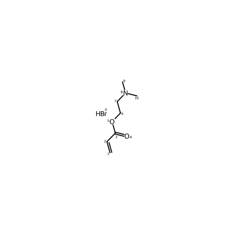 Br.C=CC(=O)OCCN(C)C